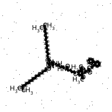 COc1cc(OCCCCC(=O)NCCCCNc2nc(OCCCCCCCCCCCCCCCC(C)C)nc(OCCCCCCCCCCCCCCCC(C)C)n2)cc(OC)c1CNC(=O)OCC1c2ccccc2-c2ccccc21